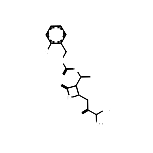 CSC(SC)C(=O)CC1NC(=O)C1C(C)OC(=O)OCc1ccccc1[N+](=O)[O-]